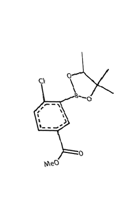 COC(=O)c1ccc(Cl)c(B2OC(C)C(C)(C)O2)c1